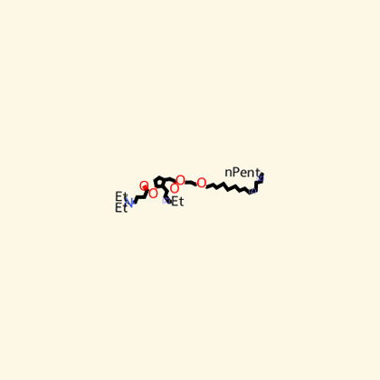 CC/C=C\CC1C(CC(=O)OCCCOCCCCCCCC/C=C\C/C=C\CCCCC)CCC1OC(=O)CCCN(CC)CC